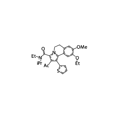 CCOc1cc2c(cc1OC)CCn1c(C(=O)N(CC)C(C)C)c(C(C)=O)c(-c3cccs3)c1-2